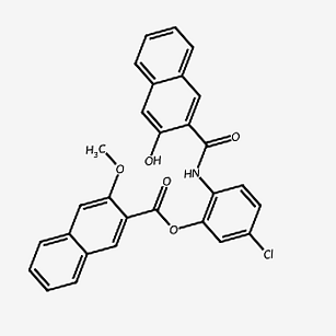 COc1cc2ccccc2cc1C(=O)Oc1cc(Cl)ccc1NC(=O)c1cc2ccccc2cc1O